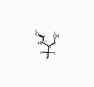 CC(C)(C)C(CO)NC=O